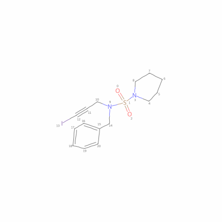 O=S(=O)(N1CCCCC1)N(CC#CI)Cc1ccccc1